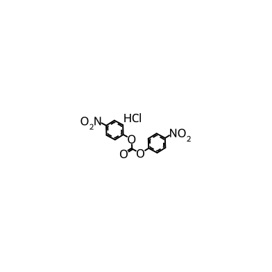 Cl.O=C(Oc1ccc([N+](=O)[O-])cc1)Oc1ccc([N+](=O)[O-])cc1